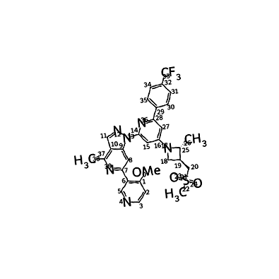 COc1ccncc1-c1cc2c(cnn2-c2cc(N3C[C@H](CS(C)(=O)=O)[C@H]3C)cc(-c3ccc(C(F)(F)F)cc3)n2)c(C)n1